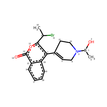 CB(O)N1CC=C(c2c(C(C)Br)oc(=O)c3ccccc23)CC1